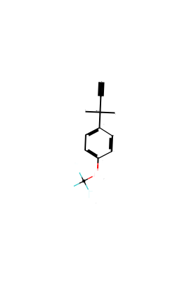 C#CC(C)(C)c1ccc(OC(F)(F)F)cc1